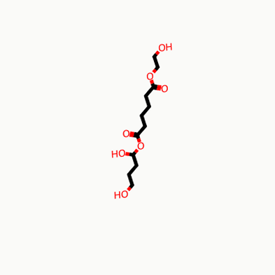 O=C(CCCCC(=O)OC(O)CCCO)OCCO